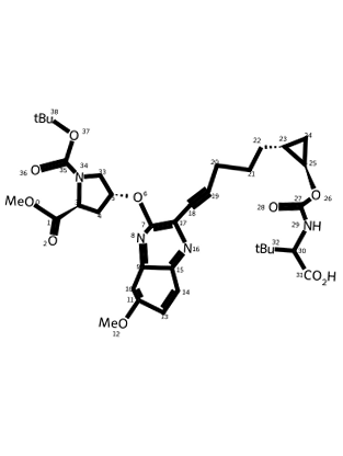 COC(=O)[C@@H]1C[C@@H](Oc2nc3cc(OC)ccc3nc2C#CCCC[C@@H]2C[C@H]2OC(=O)NC(C(=O)O)C(C)(C)C)CN1C(=O)OC(C)(C)C